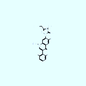 CCn1c(CO)nn(-c2cc3c(cc2F)c(=O)c(-c2c(F)cccc2Cl)cn3C(C)C)c1=O